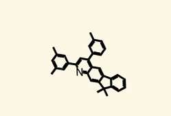 Cc1cc(C)cc(-c2cc(-c3cccc(C)c3)c3cc4c(cc3n2)C(C)(C)c2ccccc2-4)c1